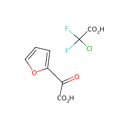 O=C(O)C(=O)c1ccco1.O=C(O)C(F)(F)Cl